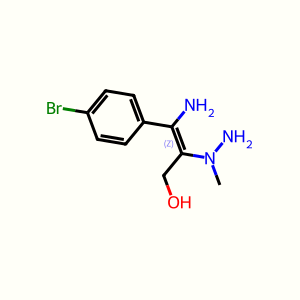 CN(N)/C(CO)=C(\N)c1ccc(Br)cc1